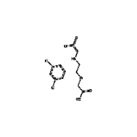 Clc1cccc(Cl)c1.O=C(O)COCCNC=S(=O)=O